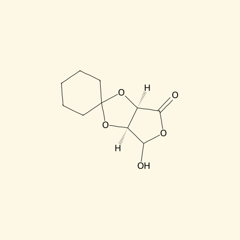 O=C1OC(O)[C@H]2OC3(CCCCC3)O[C@@H]12